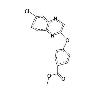 COC(=O)c1ccc(Oc2cnc3cc(Cl)ccc3n2)cc1